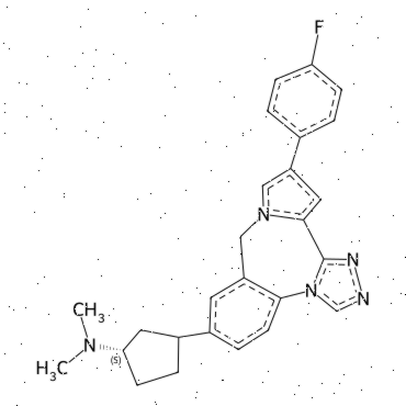 CN(C)[C@H]1CCC(c2ccc3c(c2)Cn2cc(-c4ccc(F)cc4)cc2-c2nncn2-3)C1